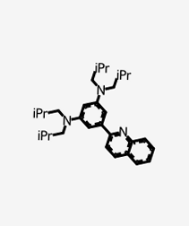 CC(C)CN(CC(C)C)c1cc(-c2ccc3ccccc3n2)cc(N(CC(C)C)CC(C)C)c1